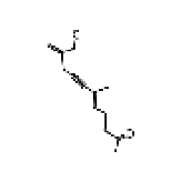 C=C(CCl)CC#C/C(C)=C/CCC(C)=O